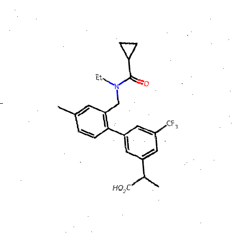 CCN(Cc1cc(C)ccc1-c1cc(C(C)C(=O)O)cc(C(F)(F)F)c1)C(=O)C1CC1